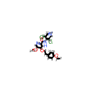 CCOc1ccc(CCOc2cc(C(=O)Nc3c(Cl)cncc3Cl)ncc2OC)cc1